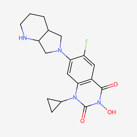 O=c1c2cc(F)c(N3CC4CCCNC4C3)cc2n(C2CC2)c(=O)n1O